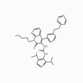 CCCCCn1c(=O)c(NC(=O)Nc2c(C(C)C)cccc2C(C)C)c(-c2cccc(OCc3ccncc3)c2)c2cccnc21